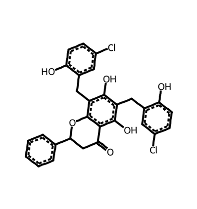 O=C1CC(c2ccccc2)Oc2c(Cc3cc(Cl)ccc3O)c(O)c(Cc3cc(Cl)ccc3O)c(O)c21